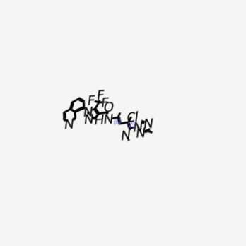 C=N/C(=C(Cl)\C=C(/C)NC(=O)c1cnn(-c2cccc3ccncc23)c1C(F)(F)F)n1cnc(C)n1